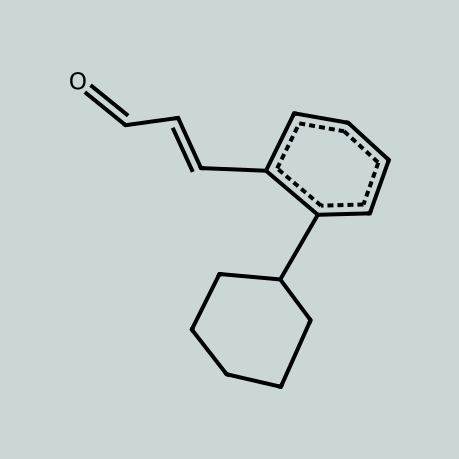 O=C/C=C/c1ccccc1C1CCCCC1